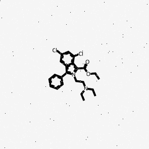 CCOC(=O)c1c2c(Cl)cc(Cl)cc2c(-c2ccccc2)n1CCN(CC)CC